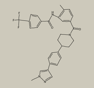 Cc1ccc(C(=O)N2CCC(c3ccc(-c4cnn(C)c4)cc3)CC2)cc1NC(=O)c1ccc(C(F)(F)F)cc1